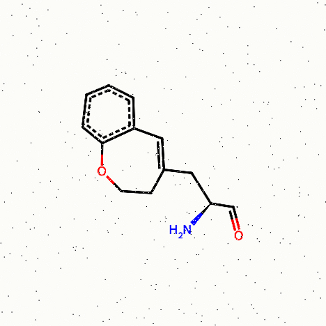 N[C@H]([C]=O)CC1=Cc2ccccc2OCC1